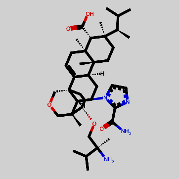 CC(C)[C@@H](C)[C@@]1(C)CC[C@]2(C)[C@H]3CC[C@@H]4[C@@]5(COC[C@@]4(C)[C@@H](OC[C@@](C)(N)C(C)C)[C@H](n4ccnc4C(N)=O)C5)C3=CC[C@@]2(C)[C@@H]1C(=O)O